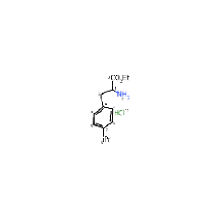 CCOC(=O)C(N)Cc1ccc(C(C)C)cc1.Cl